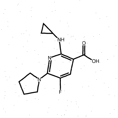 O=C(O)c1cc(F)c(N2CCCC2)nc1NC1CC1